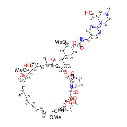 CO[C@H]1C[C@@H]2CC[C@@H](C)[C@@](O)(O2)C(=O)C(=O)N2CCCC[C@H]2C(=O)O[C@H]([C@H](C)C[C@@H]2CC[C@@H](OC(=O)NCc3cnc(N4CCN(C)CC4CO)nc3)[C@H](OC)C2)CC(=O)[C@H](C)/C=C(\C)[C@@H](O)[C@@H](OC)C(=O)C(C)C[C@H](C)/C=C/C=C/C=C/1C